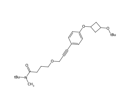 CN(C(=O)CCCOCC#Cc1ccc(OC2CC(OC(C)(C)C)C2)cc1)C(C)(C)C